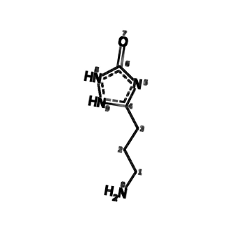 NCCCc1nc(=O)[nH][nH]1